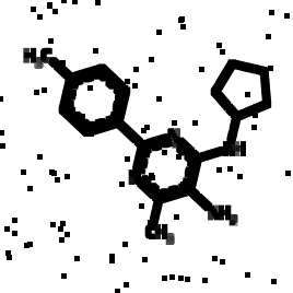 Cc1ccc(-c2nc(C)c(N)c(NC3CCCC3)n2)cc1